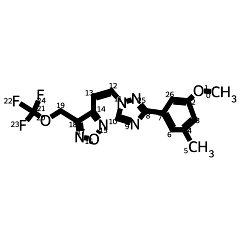 COc1cc(C)cc(-c2ncn(/C=C\c3nonc3COC(F)(F)F)n2)c1